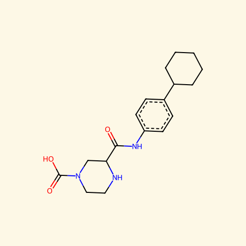 O=C(Nc1ccc(C2CCCCC2)cc1)C1CN(C(=O)O)CCN1